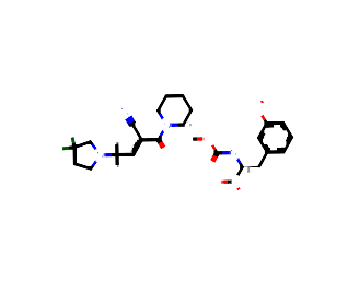 COc1cccc(C[C@H](NC(=O)OC[C@H]2CCCCN2C(=O)C(C#N)=CC(C)(C)N2CCC(F)(F)C2)B(O)O)c1